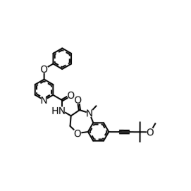 COC(C)(C)C#Cc1ccc2c(c1)N(C)C(=O)C(NC(=O)c1cc(Oc3ccccc3)ccn1)CO2